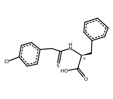 O=C(O)[C@H](Cc1ccccc1)NC(=S)Cc1ccc(Cl)cc1